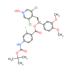 COc1ccc([C@H](Cc2c(Cl)c[n+](O)cc2Cl)OC(=O)c2ccc(NC(=O)OC(C)(C)C)cc2F)cc1OC